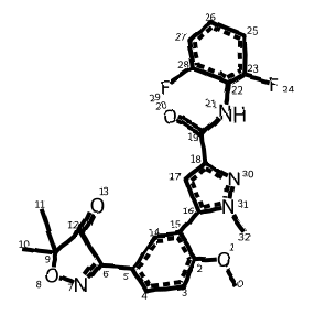 COc1ccc(C2=NOC(C)(C)C2=O)cc1-c1cc(C(=O)Nc2c(F)cccc2F)nn1C